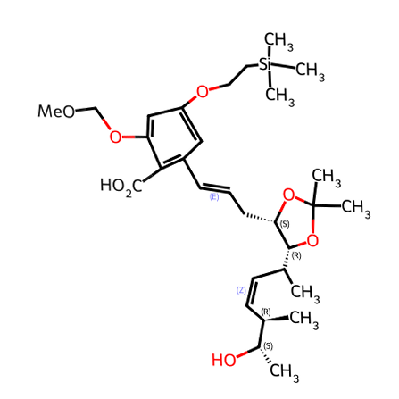 COCOc1cc(OCC[Si](C)(C)C)cc(/C=C/C[C@@H]2OC(C)(C)O[C@@H]2C(C)/C=C\[C@@H](C)[C@H](C)O)c1C(=O)O